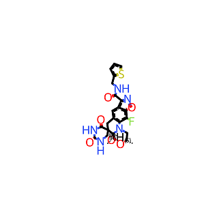 C[C@H]1CN2c3c(cc4c(C(=O)NCc5cccs5)noc4c3F)CC3(C(=O)NC(=O)NC3=O)[C@@H]2[C@@H](C)O1